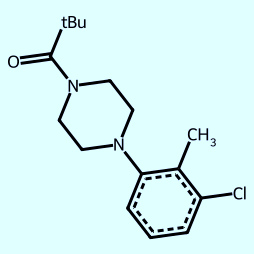 Cc1c(Cl)cccc1N1CCN(C(=O)C(C)(C)C)CC1